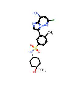 Cc1ccc(S(=O)(=O)N[C@H]2CC[C@](C)(O)CC2)cc1-c1cnc2c(N)cc(Cl)nn12